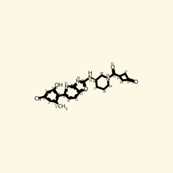 Cc1cc(Cl)cc(O)c1-c1ccc2oc(N[C@@H]3CCCN(C(=O)C4CC(=O)C4)C3)nc2n1